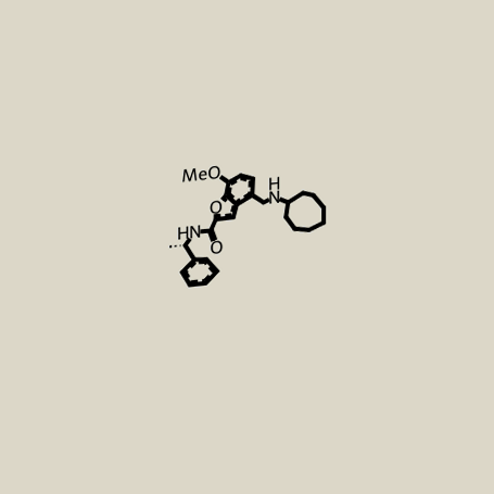 COc1ccc(CNC2CCCCCCC2)c2cc(C(=O)N[C@@H](C)c3ccccc3)oc12